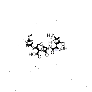 CSc1nnc(SC2=C(C(=O)O)N3C(=O)[C@@H](NC(=O)/C(=N/O)c4nc(N)sc4Cl)C3SC2)s1